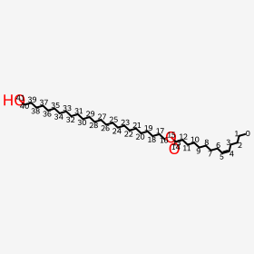 CCCC/C=C\CCCCCCCC(=O)OCCCCCCCCCCCCCCCCCCCCCCCCCO